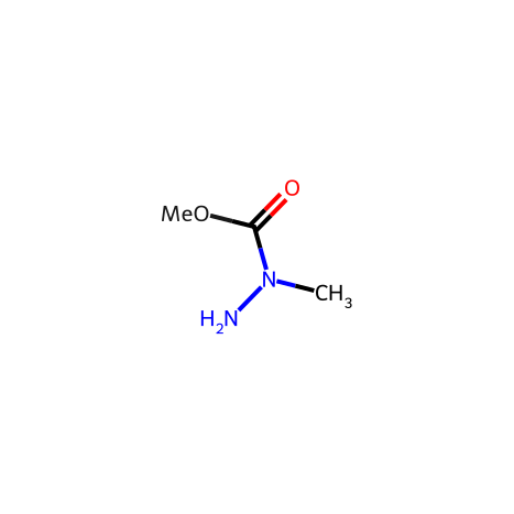 COC(=O)N(C)N